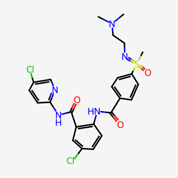 CN(C)CCN=S(C)(=O)c1ccc(C(=O)Nc2ccc(Cl)cc2C(=O)Nc2ccc(Cl)cn2)cc1